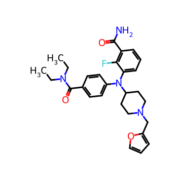 CCN(CC)C(=O)c1ccc(N(c2cccc(C(N)=O)c2F)C2CCN(Cc3ccco3)CC2)cc1